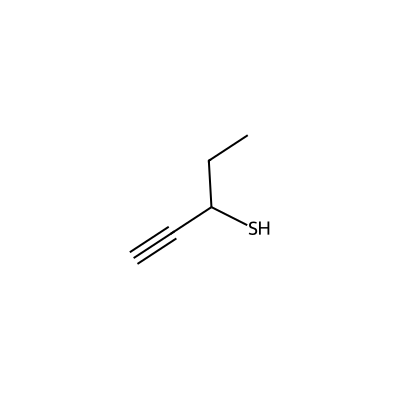 C#CC(S)CC